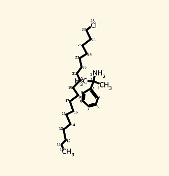 CC(C)(N)c1ccccc1.CCCCCCCCCCCCCCCCCCCl